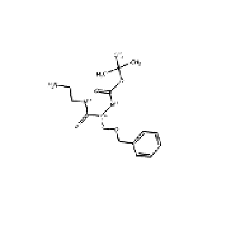 CC(C)(C)OC(=O)N[C@H](COCc1ccccc1)C(=O)NCCN